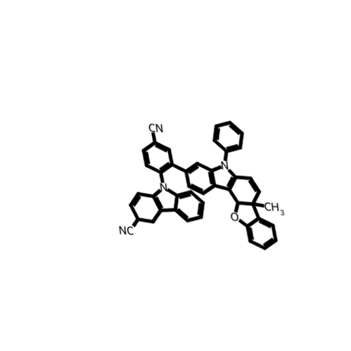 CC12C=Cc3c(c4ccc(-c5cc(C#N)ccc5-n5c6c(c7ccccc75)CC(C#N)C=C6)cc4n3-c3ccccc3)C1Oc1ccccc12